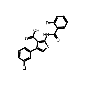 O=C(Nc1scc(-c2cccc(Cl)c2)c1C(=O)O)c1ccccc1F